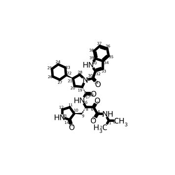 CC(C)NC(=O)C(=O)[C@H](C[C@@H]1CCNC1=O)NC(=O)[C@@H]1C[C@@H](C2CCCCC2)CN1C(=O)c1cc2ccccc2[nH]1